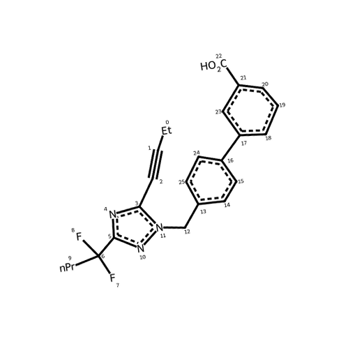 CCC#Cc1nc(C(F)(F)CCC)nn1Cc1ccc(-c2cccc(C(=O)O)c2)cc1